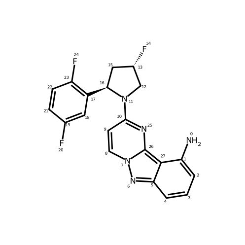 Nc1cccc2nn3ccc(N4C[C@@H](F)C[C@@H]4c4cc(F)ccc4F)nc3c12